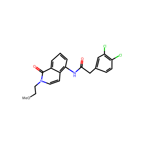 COCCn1ccc2c(NC(=O)Cc3ccc(Cl)c(Cl)c3)cccc2c1=O